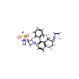 CS(=O)(=O)NC1CN(c2ccc3c(c2)C(Cc2ccccc2)C(N2CCC2)CC3)C1